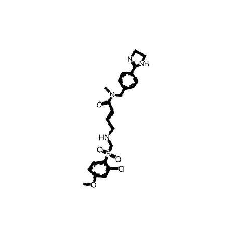 COc1ccc(S(=O)(=O)CNCC=CC(=O)N(C)Cc2ccc(C3=NCCN3)cc2)c(Cl)c1